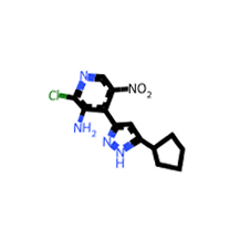 Nc1c(Cl)ncc([N+](=O)[O-])c1-c1cc(C2CCCC2)[nH]n1